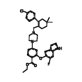 CCOC(=O)c1ccc(N2CCN(CC3=C(c4ccc(Cl)cc4)CC(C)(C)CC3)CC2)cc1Oc1cc2cc[nH]c2cc1F